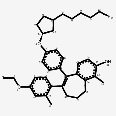 CCOc1ccc(C2=C(c3ccc(O[C@H]4CCC(CCCCCF)C4)cc3)c3ccc(O)c(C)c3CCC2)c(C)c1